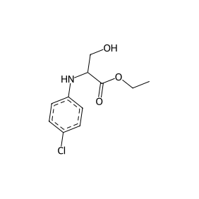 CCOC(=O)C(CO)Nc1ccc(Cl)cc1